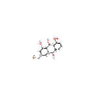 O=C1c2cccc(O)c2C(=O)c2c(O)cc(CBr)cc21